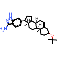 CC(C)(C)O[C@H]1CC[C@@]2(C)C(=CC[C@H]3[C@@H]4CC[C@H](c5ccc6c(N)n[nH]c6c5)[C@@]4(C)CC[C@@H]32)C1